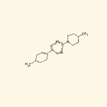 CC1CC=C(c2cnc(N3CCC(C)CC3)nc2)CC1